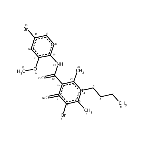 CCCCn1c(C)c(Br)c(=O)c(C(=O)Nc2ccc(Br)cc2OC)c1C